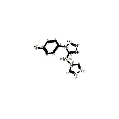 Brc1ccc(-n2nnnc2Nn2cnnc2)cc1